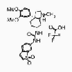 COc1ccc([C@@]23CC[C@@H](NC(=O)Nc4ccc5c(c4)S(=O)(=O)C=C5)C[C@@H]2N(C)CC3)cc1OC.O=C(O)C(F)(F)F